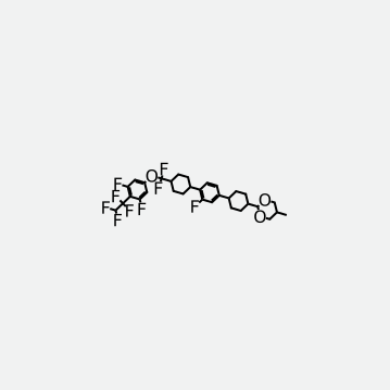 CC1COC(C2CCC(c3ccc(C4CCC(C(F)(F)Oc5cc(F)c(C(F)(F)C(F)F)c(F)c5)CC4)c(F)c3)CC2)OC1